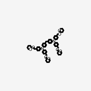 c1cc(N(c2ccc(COC3CCCCO3)cc2)c2ccc(Cc3ccc(N(c4ccc(COC5CCCCO5)cc4)c4ccc(COC5CCCCO5)cc4)cc3)cc2)ccc1COC1CCCCO1